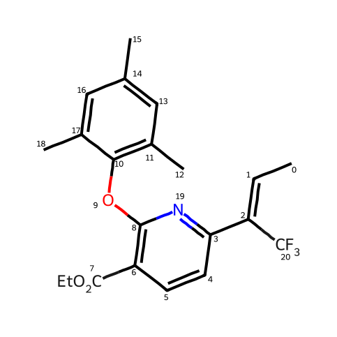 CC=C(c1ccc(C(=O)OCC)c(Oc2c(C)cc(C)cc2C)n1)C(F)(F)F